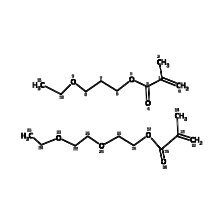 C=C(C)C(=O)OCCCOCC.C=C(C)C(=O)OCCOCCOCC